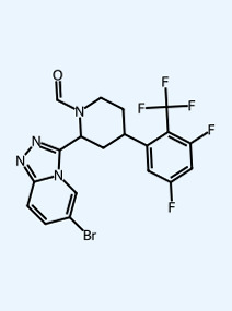 O=CN1CCC(c2cc(F)cc(F)c2C(F)(F)F)CC1c1nnc2ccc(Br)cn12